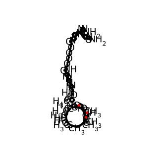 CO[C@H]1C[C@@H]2CC[C@@H](C)[C@@](O)(O2)C(=O)C(=O)N2CCCC[C@H]2C(=O)O[C@H]([C@H](N)C[C@@H]2CC[C@@H](OC(=O)NCc3cnc(N4CCN(c5ncc(C(=O)NCCOCCOCCOCCOCCC(=O)N6CCc7cc(Cn8nc(-c9ccc%10oc(N)nc%10c9)c9c(N)ncnc98)ccc7C6)cn5)CC4)nc3)[C@H](OC)C2)CC(=O)[C@H](C)/C=C(\C)[C@@H](O)[C@@H](O)C(=O)[C@H](C)C[C@H](C)/C=C/C=C/C=C/1C